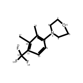 [CH2]c1c(N2CCOCC2)ccc(C(F)(F)F)c1C